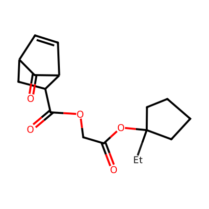 CCC1(OC(=O)COC(=O)C2CC3C=CC2C3=O)CCCC1